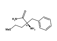 CSCC[C@@](N)(Cc1ccccc1)C(N)=O